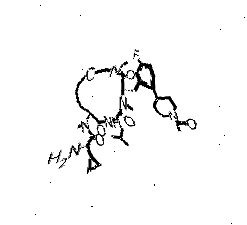 CC(=O)N1CCC(c2ccc(F)cc2C[C@H]2C(=O)N(C)CCCCCCC[C@H](N(C)C(=O)[C@@H](N)C3CC3)C(=O)N[C@@H](CC(C)C)C(=O)N2C)CC1